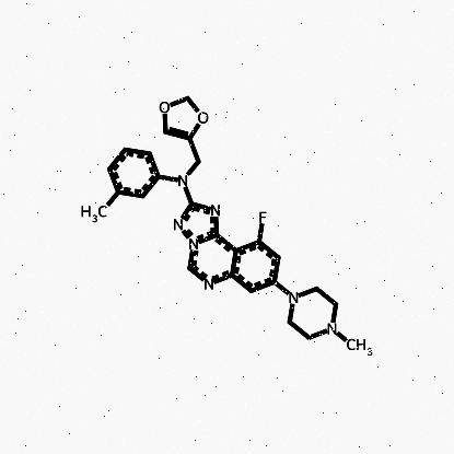 Cc1cccc(N(CC2=COCO2)c2nc3c4c(F)cc(N5CCN(C)CC5)cc4ncn3n2)c1